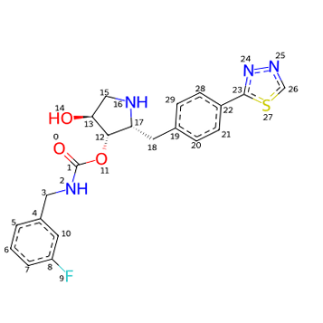 O=C(NCc1cccc(F)c1)O[C@@H]1[C@@H](O)CN[C@@H]1Cc1ccc(-c2nncs2)cc1